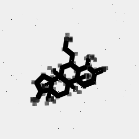 CN1C(=O)C=C[C@@]2(C)C1C(CCO)C[C@@H]1[C@H]2CC[C@]2(C)C(O)CC[C@@H]12